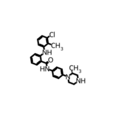 Cc1c(Cl)cccc1Nc1ccccc1C(=O)Nc1ccc(N2CCNC[C@@H]2C)cc1